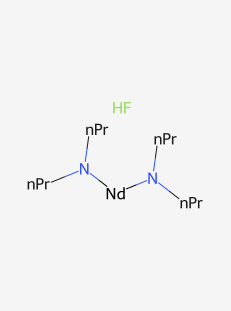 CCC[N](CCC)[Nd][N](CCC)CCC.F